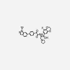 O=C(N[C@H](CN1CCCC1)[C@H](O)c1cc(F)c2c(c1)OCCO2)C(=O)c1ccc(-c2ccc3cnn(C4CC4)c3c2)cc1